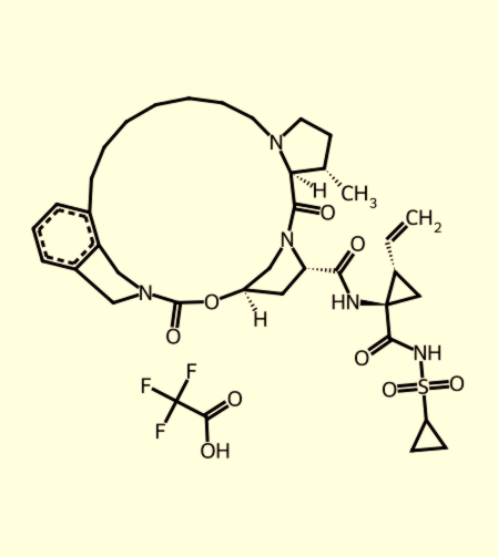 C=C[C@@H]1C[C@]1(NC(=O)[C@@H]1C[C@@H]2CN1C(=O)[C@@H]1[C@@H](C)CCN1CCCCCCCc1cccc3c1CN(C3)C(=O)O2)C(=O)NS(=O)(=O)C1CC1.O=C(O)C(F)(F)F